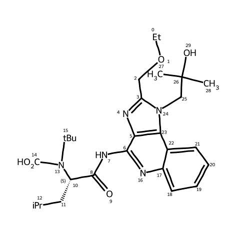 CCOCc1nc2c(NC(=O)[C@H](CC(C)C)N(C(=O)O)C(C)(C)C)nc3ccccc3c2n1CC(C)(C)O